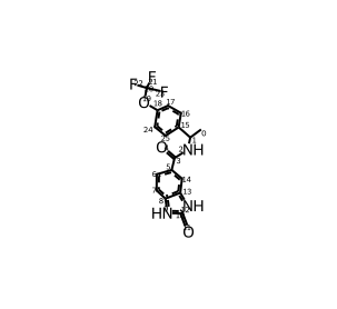 CC(NC(=O)c1ccc2[nH]c(=O)[nH]c2c1)c1ccc(OC(F)(F)F)cc1